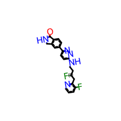 O=C1NCc2cc(-c3ccc(NCC[C@H](F)Cc4ncccc4F)nn3)ccc21